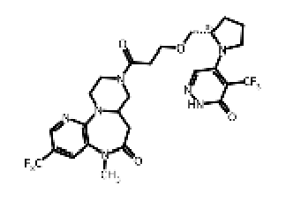 CN1C(=O)CC2CN(C(=O)CCOC[C@@H]3CCCN3c3cn[nH]c(=O)c3C(F)(F)F)CCN2c2ncc(C(F)(F)F)cc21